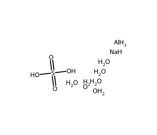 O.O.O.O.O.O.O=S(=O)(O)O.[AlH3].[NaH]